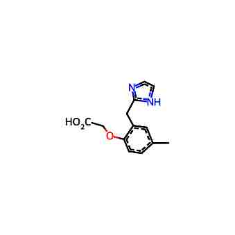 Cc1ccc(OCC(=O)O)c(Cc2ncc[nH]2)c1